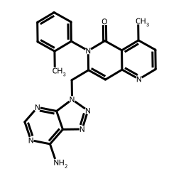 Cc1ccccc1-n1c(Cn2nnc3c(N)ncnc32)cc2nccc(C)c2c1=O